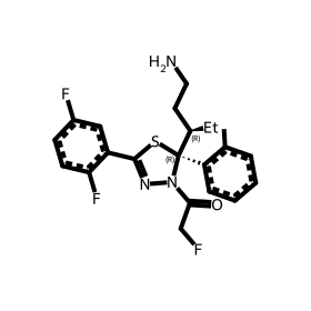 CC[C@H](CCN)[C@]1(c2ccccc2C)SC(c2cc(F)ccc2F)=NN1C(=O)CF